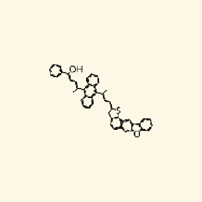 C/C(=C\C=C(/O)c1ccccc1)c1c2ccccc2c(/C(C)=C/C=C2\Cc3ccc4cc5oc6ccccc6c5cc4c3S2)c2ccccc12